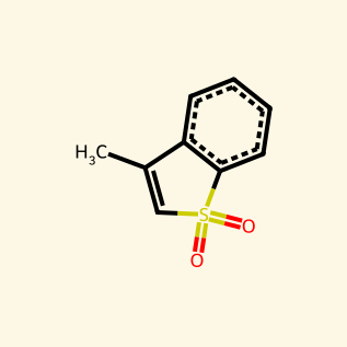 CC1=CS(=O)(=O)c2ccccc21